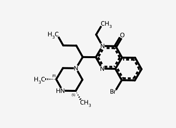 CCCC(c1nc2c(Br)cccc2c(=O)n1CC)N1C[C@@H](C)N[C@@H](C)C1